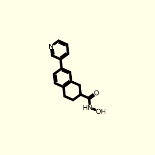 O=C(NO)C1CCc2ccc(-c3cccnc3)cc2C1